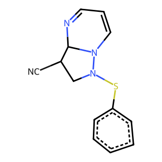 N#CC1CN(Sc2ccccc2)N2C=CC=NC12